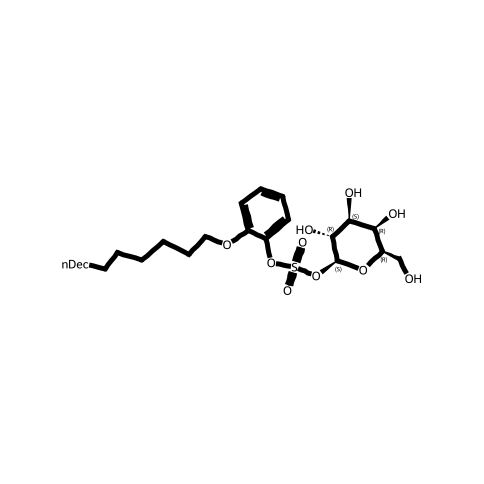 CCCCCCCCCCCCCCCCOc1ccccc1OS(=O)(=O)O[C@@H]1O[C@H](CO)[C@H](O)[C@H](O)[C@H]1O